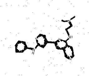 CN(C)CCNc1nc(-c2ccnc(Nc3ccccc3)c2)cc2cnccc12